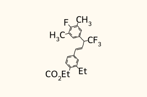 CCOC(=O)c1ccc(/C=C/C(c2cc(C)c(F)c(C)c2)C(F)(F)F)cc1CC